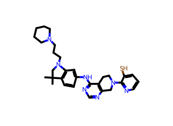 CC1(C)CN(CCCN2CCCCC2)c2cc(Nc3ncnc4c3CCN(c3ncccc3S)C4)ccc21